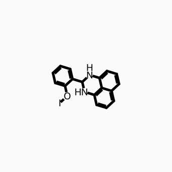 IOc1ccccc1C1Nc2cccc3cccc(c23)N1